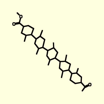 COC(=O)C1CCC(C2CC(C)C(C3CC(C)C(C4CC(C)C(C5CCC(C(C)=O)CC5C)CC4C)CC3C)CC2C)C(C)C1